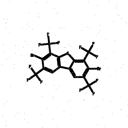 FC(F)(F)c1cc2c(sc3c(C(F)(F)F)c(Br)c(C(F)(F)F)cc32)c(C(F)(F)F)c1Br